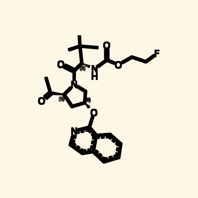 CC(=O)[C@@H]1C[C@@H](Oc2nccc3ccccc23)CN1C(=O)[C@@H](NC(=O)OCCF)C(C)(C)C